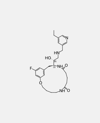 CCc1cncc(CNC[C@@H](O)[C@@H]2Cc3cc(F)cc(c3)OCCCCNC(=O)CCCC(=O)N2)c1